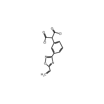 C=Cc1nc(-c2cccc(C(C(=O)Cl)C(=O)Cl)c2)no1